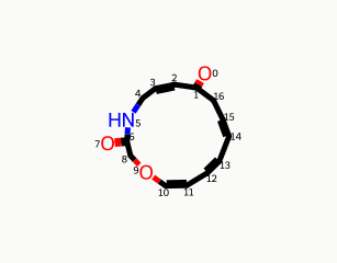 O=C1C=CCNC(=O)COC=CC=CC=CC1